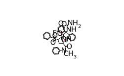 CN(C(=O)C1CC(S(=O)(=O)c2ccccc2)C(c2ccccc2F)N1c1ccccc1C(CC=O)(NC(N)=O)C(=O)O)c1ccccc1